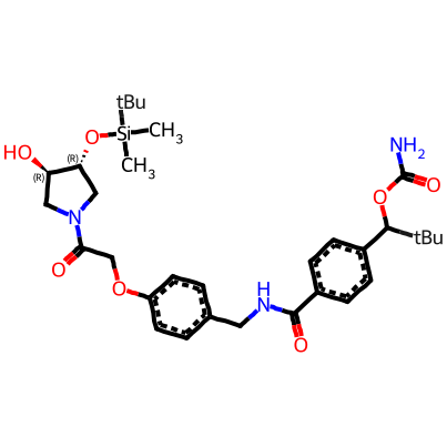 CC(C)(C)C(OC(N)=O)c1ccc(C(=O)NCc2ccc(OCC(=O)N3C[C@@H](O)[C@H](O[Si](C)(C)C(C)(C)C)C3)cc2)cc1